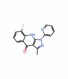 Cc1nn(-c2ccccn2)c2[nH]c3c(F)cccc3c(=O)c12